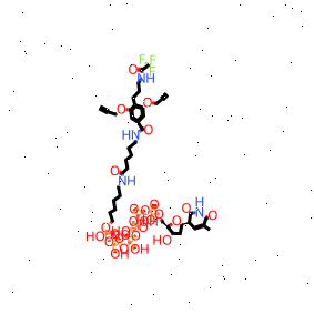 C#CCOc1cc(C(=O)NCCCCCC(=O)NCCCCCCOP(=O)(O)OP(=O)(O)OP(=O)(O)OP(=O)(O)OP(=O)(O)OP(=O)(O)OC[C@H]2O[C@@H](C3C=C(C)C(=O)NC3=O)C[C@H]2O)cc(OCC#C)c1CCCNC(=O)C(F)(F)F